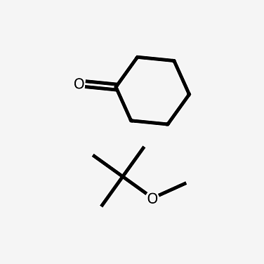 COC(C)(C)C.O=C1CCCCC1